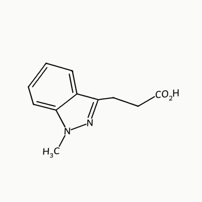 Cn1nc(CCC(=O)O)c2ccccc21